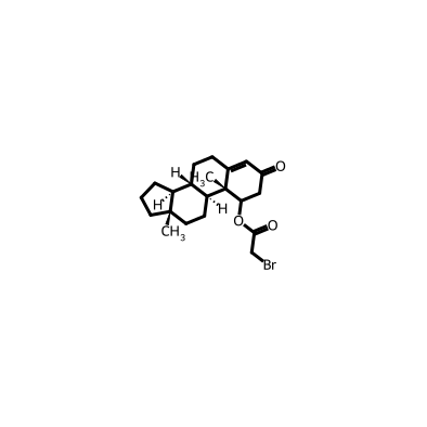 C[C@@]12CCC[C@H]1[C@@H]1CCC3=CC(=O)CC(OC(=O)CBr)[C@]3(C)[C@H]1CC2